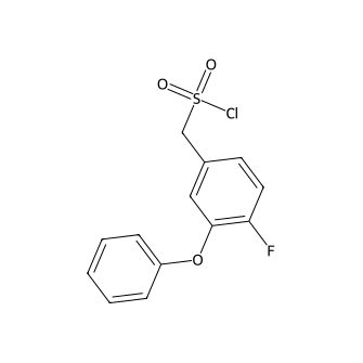 O=S(=O)(Cl)Cc1ccc(F)c(Oc2ccccc2)c1